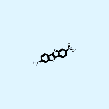 Cc1ccc2c(c1)sc1c3ccc([N+](=O)[O-])cc3sc21